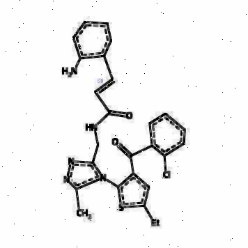 CCc1cc(C(=O)c2ccccc2Cl)c(-n2c(C)nnc2CNC(=O)/C=C/c2ccccc2N)s1